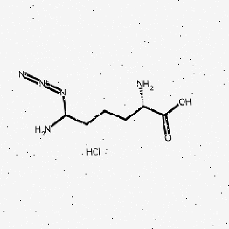 Cl.[N-]=[N+]=NC(N)CCC[C@H](N)C(=O)O